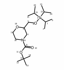 CC(C)[Si](OCC1CN(C(=O)OC(C)(C)C)CCO1)(C(C)C)C(C)C